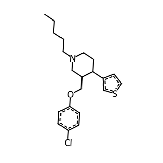 CCCCCN1CCC(c2ccsc2)C(COc2ccc(Cl)cc2)C1